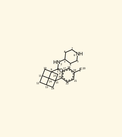 O=C(NC1CCNCC1)C12CC3CC4CC(c5ccc(F)cc5)(C1)C342